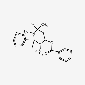 CCC1(C)CC(OC(=O)c2ccccc2)C(C)C(C)(c2ccccc2)N1C